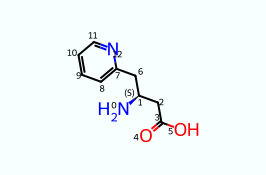 N[C@H](CC(=O)O)Cc1ccccn1